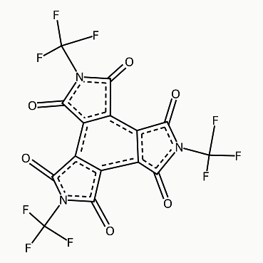 O=c1c2c3c(=O)n(C(F)(F)F)c(=O)c3c3c(=O)n(C(F)(F)F)c(=O)c3c2c(=O)n1C(F)(F)F